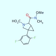 CON(C)C(=O)C1C2CC2(c2cc(F)ccc2F)CN1C(=O)O